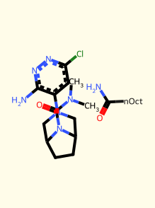 CCCCCCCCC(N)=O.CN(C)C(=O)N1C2CCC1CN(c1cc(Cl)nnc1N)C2